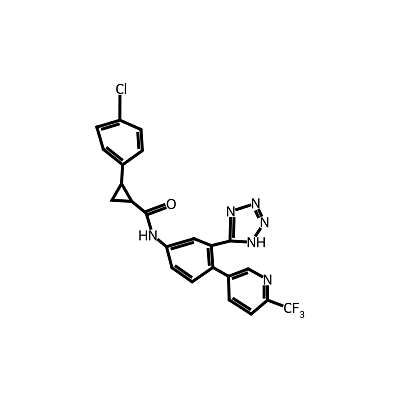 O=C(Nc1ccc(-c2ccc(C(F)(F)F)nc2)c(-c2nnn[nH]2)c1)C1CC1c1ccc(Cl)cc1